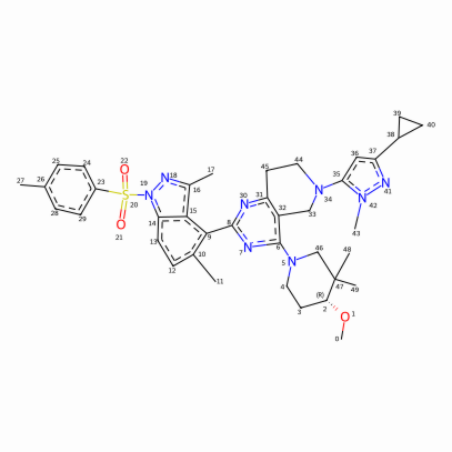 CO[C@@H]1CCN(c2nc(-c3c(C)ccc4c3c(C)nn4S(=O)(=O)c3ccc(C)cc3)nc3c2CN(c2cc(C4CC4)nn2C)CC3)CC1(C)C